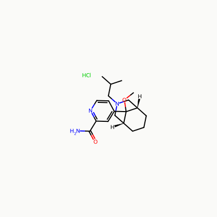 COC1(c2ccnc(C(N)=O)c2)[C@@H]2CCC[C@H]1CN(CC(C)C)C2.Cl